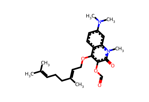 CC(C)=CCC/C(C)=C/COc1c(OC=O)c(=O)n(C)c2cc(N(C)C)ccc12